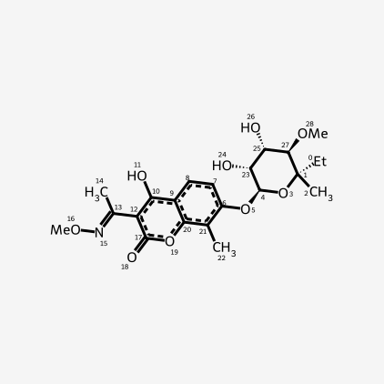 CC[C@]1(C)O[C@@H](Oc2ccc3c(O)c(C(C)=NOC)c(=O)oc3c2C)[C@H](O)[C@H](O)[C@H]1OC